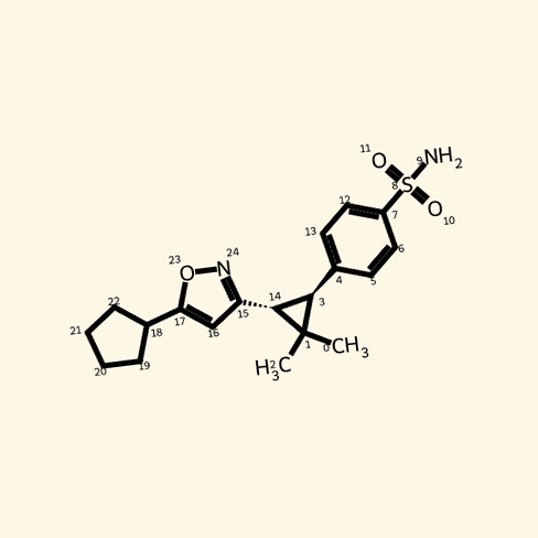 CC1(C)[C@H](c2ccc(S(N)(=O)=O)cc2)[C@H]1c1cc(C2CCCC2)on1